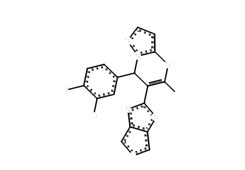 CC1=C(c2nc3cscc3[nH]2)C(c2ccc(Cl)c(Cl)c2)n2nccc2N1